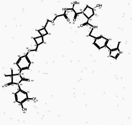 Cc1ncsc1-c1ccc(CNC(=O)[C@@H]2C[C@@H](O)CN2C(=O)[C@@H](NC(=O)COCC2CC3(C2)CC(COc2ccc(N4C(=S)N(c5ccc(C#N)c(C(F)(F)F)c5)C(=O)C4(C)C)cc2)C3)C(C)(C)C)cc1